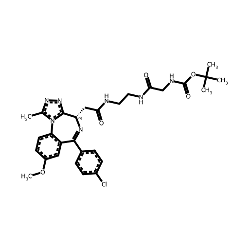 COc1ccc2c(c1)C(c1ccc(Cl)cc1)=N[C@@H](CC(=O)NCCNC(=O)CNC(=O)OC(C)(C)C)c1nnc(C)n1-2